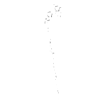 CCCOCCOCCOCCOCCOCCOCCC(=O)NCCOCCOCCOCCNS(=O)(=O)c1cccc(C2CN(C)Cc3c(Cl)cc(Cl)cc32)c1